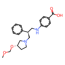 COCO[C@H]1CCN(C[C@H](CNc2ccc(C(=O)O)cc2)c2ccccc2)C1